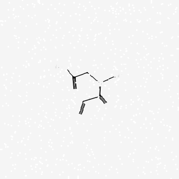 C=CC(=O)N(CCC)CC(=O)OCC(C)C